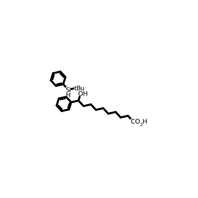 CC(C)(C)[SiH](c1ccccc1)c1ccccc1C(O)CCCCCCCCC(=O)O